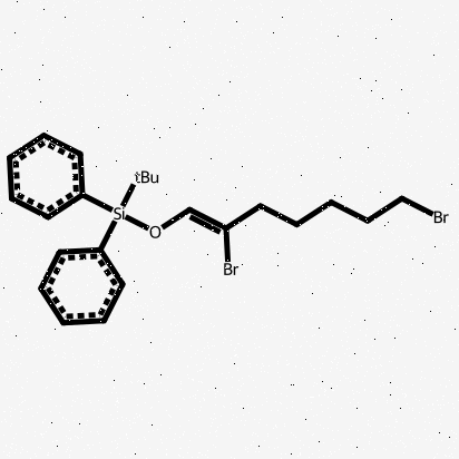 CC(C)(C)[Si](OC=C(Br)CCCCCBr)(c1ccccc1)c1ccccc1